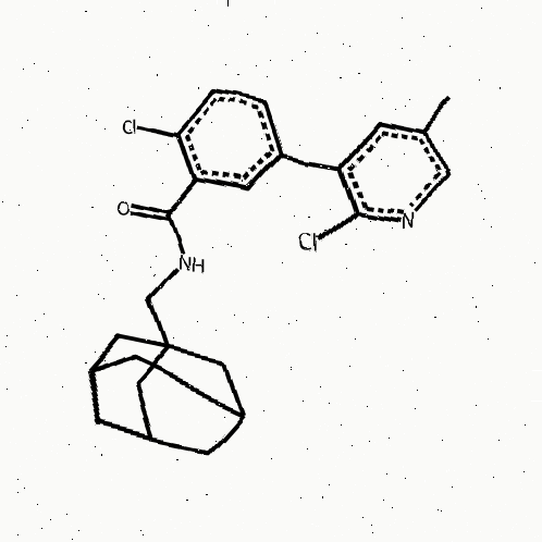 Cc1cnc(Cl)c(-c2ccc(Cl)c(C(=O)NCC34CC5CC(CC(C5)C3)C4)c2)c1